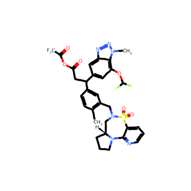 Cc1ccc(C(CC(=O)OC(=O)C(F)(F)F)c2cc(OC(F)F)c3c(c2)nnn3C)cc1CN1C[C@H]2CCCN2c2ncccc2S1(=O)=O